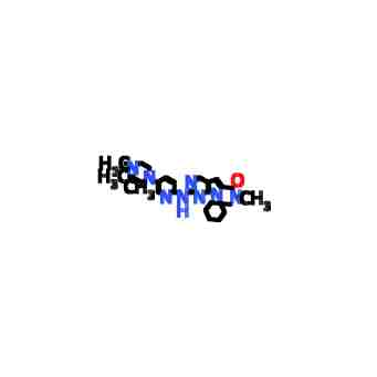 CN1CC2(CCCCC2)n2c(cc3cnc(Nc4ccc(N5CCN(C)C(C)(C)C5)cn4)nc32)C1=O